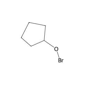 BrOC1CCCC1